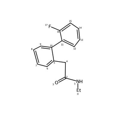 CCNC(=O)Cc1ccccc1-c1ccccc1F